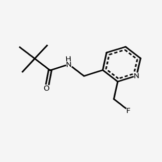 CC(C)(C)C(=O)NCc1cccnc1CF